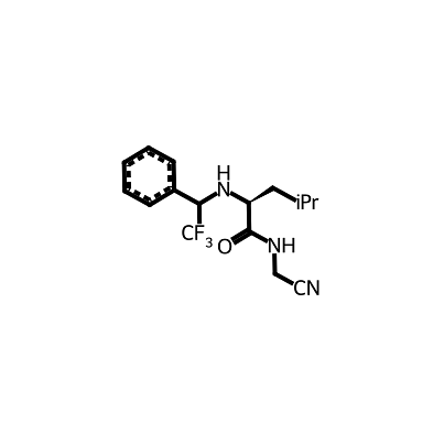 CC(C)C[C@H](NC(c1ccccc1)C(F)(F)F)C(=O)NCC#N